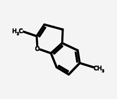 CC1=CCc2cc(C)ccc2O1